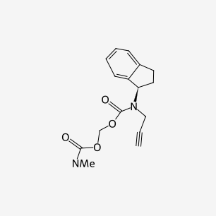 C#CCN(C(=O)OCOC(=O)NC)[C@@H]1CCc2ccccc21